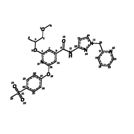 COCC(C)Oc1cc(C(=O)Nc2ccn(Cc3ccccn3)n2)cc(Oc2ccc(S(C)(=O)=O)cc2)n1